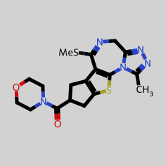 CSC1=NCc2nnc(C)n2-c2sc3c(c21)CC(C(=O)N1CCOCC1)C3